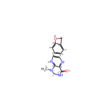 CN1CNC(=O)c2nccnc21.c1ccc2c(c1)CO2